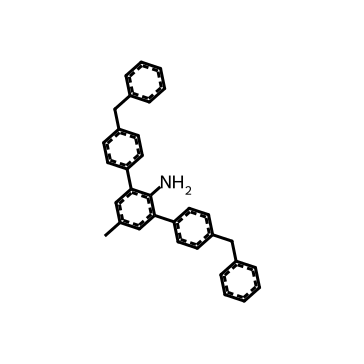 Cc1cc(-c2ccc(Cc3ccccc3)cc2)c(N)c(-c2ccc(Cc3ccccc3)cc2)c1